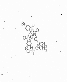 COc1ccc2c(c1)C(=O)N(CC1(c3ccc(Br)cc3)NC(=O)N(COCC[Si](C)(C)C)C1=O)C2